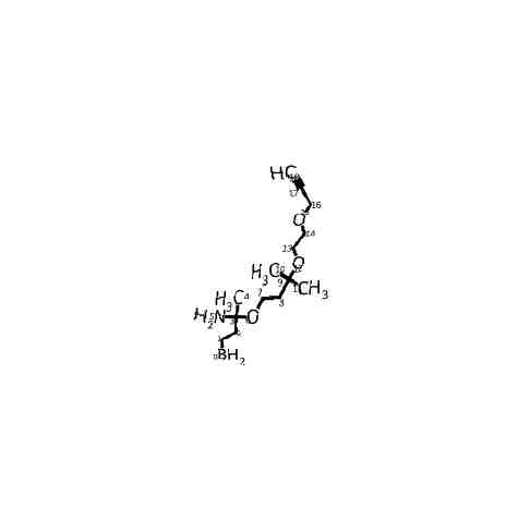 BCCC(C)(N)OCCC(C)(C)OCCOCC#C